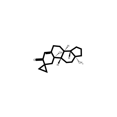 C[C@@]12CCC[C@H]1[C@@H]1CCC3=CC(=O)C4(CC4)C[C@]3(C)[C@H]1CC2